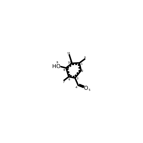 Cc1cc(C=O)c(C)c(O)c1C